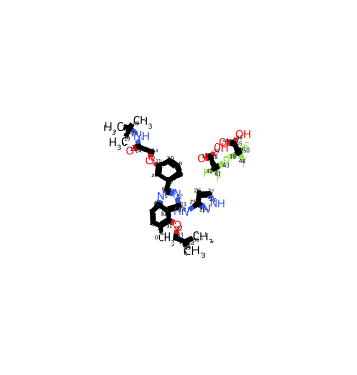 Cc1ccc2nc(-c3cccc(OCC(=O)NC(C)(C)C)c3)nc(Nc3cc[nH]n3)c2c1OCC(C)C.O=C(O)C(F)(F)F.O=C(O)C(F)(F)F